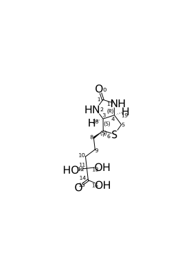 O=C1N[C@H]2[C@H](CS[C@H]2CCCC(O)(O)C(=O)O)N1